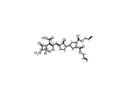 C=CCOC(=O)N1CC(N2CCC(=CC3=C(C(=O)O)N4C(=O)[C@@H](N)[C@H]4SC3)C2=O)CN1C(=O)OCC=C